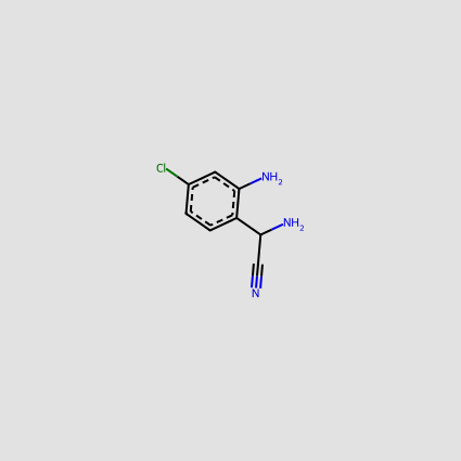 N#CC(N)c1ccc(Cl)cc1N